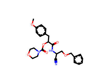 COc1ccc(CC(OC(=O)N2CCOCC2)C(=O)NC(C#N)COCc2ccccc2)cc1